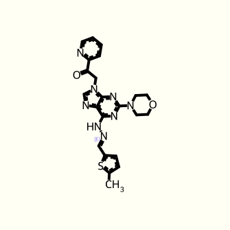 Cc1ccc(/C=N/Nc2nc(N3CCOCC3)nc3c2ncn3CC(=O)c2ccccn2)s1